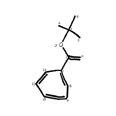 C=C(OC(C)(C)C)c1ccccc1